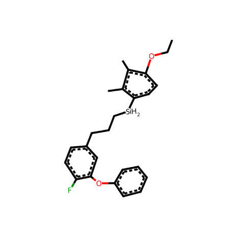 CCOc1ccc([SiH2]CCCc2ccc(F)c(Oc3ccccc3)c2)c(C)c1C